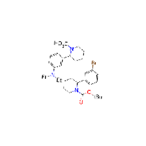 CC(C)(C)OC(=O)N1CCCCC1c1cccc(Br)c1.CCN(CC)c1cccc(C2CCCCN2C(=O)O)c1